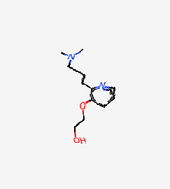 CN(C)CCCc1ncccc1OCCO